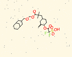 C=C1CC(CC(C)(C)C(=O)OCOCC2CC3CCCC(C3)C2)CCC1OC(=O)C(F)(F)S(=O)(=O)O